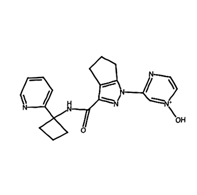 O=C(NC1(c2ccccn2)CCC1)c1nn(-c2c[n+](O)ccn2)c2c1CCC2